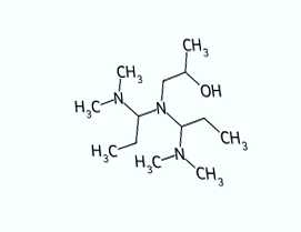 CCC(N(C)C)N(CC(C)O)C(CC)N(C)C